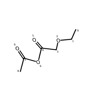 CCOCC(=O)OC(C)=O